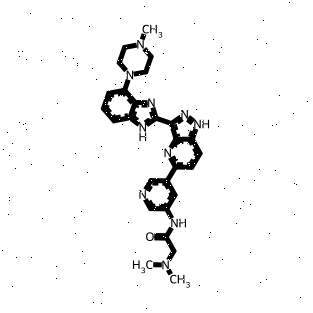 CN(C)CC(=O)Nc1cncc(-c2ccc3[nH]nc(-c4nc5c(N6CCN(C)CC6)cccc5[nH]4)c3n2)c1